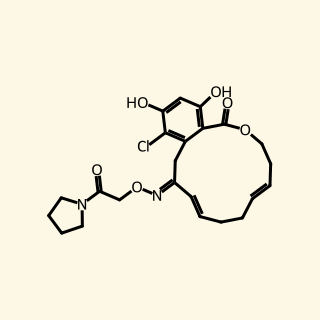 O=C1OCC/C=C/CC/C=C/C(=N/OCC(=O)N2CCCC2)Cc2c(Cl)c(O)cc(O)c21